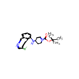 CC(C)(C)OC(=O)N1CCC(Nc2cccc3cncc(F)c23)CC1